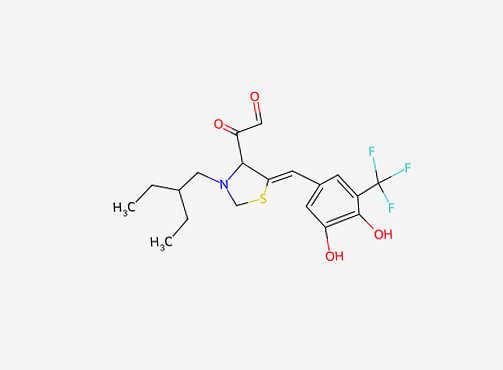 CCC(CC)CN1CS/C(=C\c2cc(O)c(O)c(C(F)(F)F)c2)C1C(=O)C=O